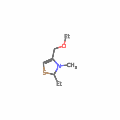 CCOCC1=CSC(CC)N1C